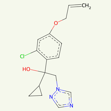 C=CCOc1ccc(C(O)(Cn2cncn2)C2CC2)c(Cl)c1